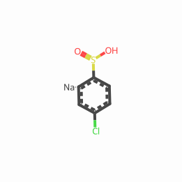 O=S(O)c1ccc(Cl)cc1.[Na]